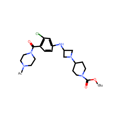 CC(=O)N1CCN(C(=O)c2ccc(NC3CN(C4CCN(C(=O)OC(C)(C)C)CC4)C3)cc2Cl)CC1